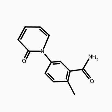 Cc1ccc(-n2ccccc2=O)cc1C(N)=O